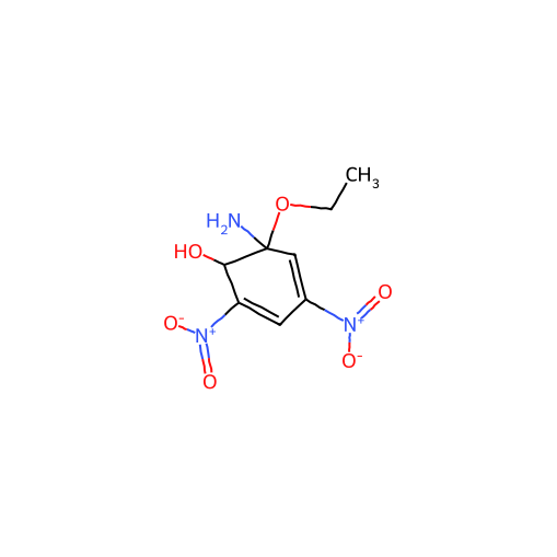 CCOC1(N)C=C([N+](=O)[O-])C=C([N+](=O)[O-])C1O